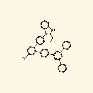 CCC1Nc2ccccc2N1c1ccc(-c2ccc(N)cc2-c2ccc(-c3nc(-c4ccccc4)nc(-c4ccccc4)n3)cc2)cc1